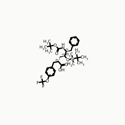 CC(C)(C)OC(=O)N[C@@H](Cc1ccccc1)[C@H](C[C@@H](Cc1ccc(OC(F)(F)F)cc1)C(=O)O)O[Si](C)(C)C(C)(C)C